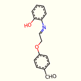 O=Cc1ccc(OCC=Nc2ccccc2O)cc1